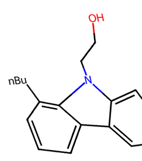 CCCCc1cccc2c3ccccc3n(CCO)c12